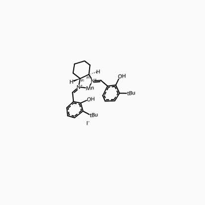 CC(C)(C)c1cccc(C=[N+]2[Mn][N+](=Cc3cccc(C(C)(C)C)c3O)[C@@H]3CCCC[C@H]32)c1O.[I-]